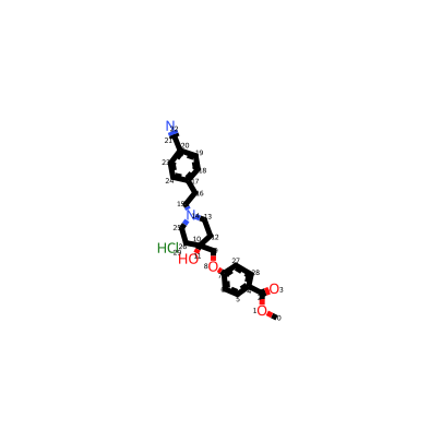 COC(=O)c1ccc(OCC2(O)CCN(CCc3ccc(C#N)cc3)CC2)cc1.Cl